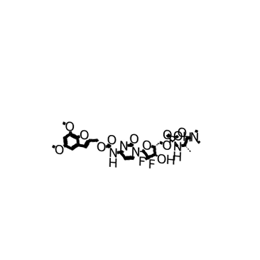 COc1cc(OC)c2oc(COC(=O)Nc3ccn([C@@H]4O[C@H](COP(=O)(O)N[C@@H](C)C(=O)N(C)C)[C@@H](O)C4(F)F)c(=O)n3)cc2c1